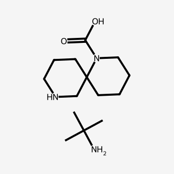 CC(C)(C)N.O=C(O)N1CCCCC12CCCNC2